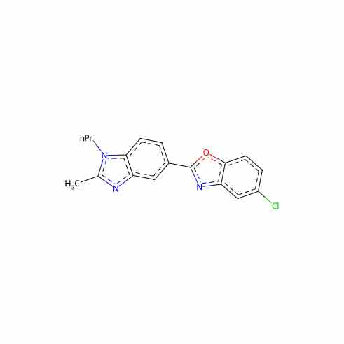 CCCn1c(C)nc2cc(-c3nc4cc(Cl)ccc4o3)ccc21